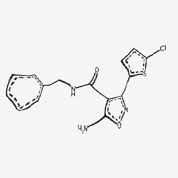 Nc1onc(-c2ccc(Cl)s2)c1C(=O)NCc1ccccc1